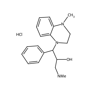 CNCC(O)C(c1ccccc1)N1CCN(C)c2ccccc21.Cl